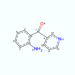 Nc1ccccc1C(=O)c1cccnc1